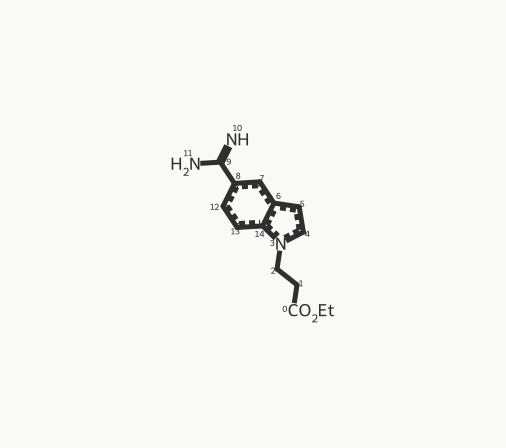 CCOC(=O)CCn1ccc2cc(C(=N)N)ccc21